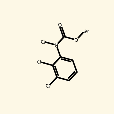 CC(C)OC(=O)N(Cl)c1cccc(Cl)c1Cl